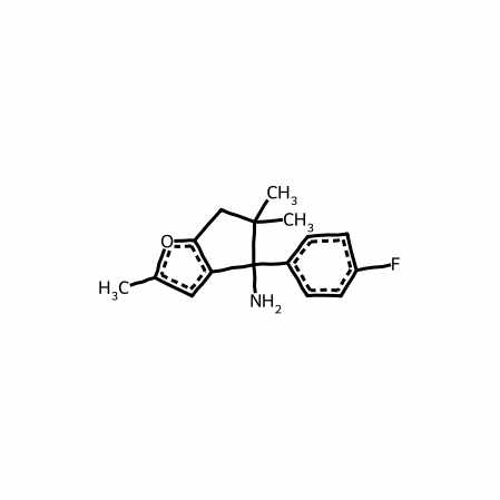 Cc1cc2c(o1)CC(C)(C)C2(N)c1ccc(F)cc1